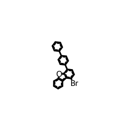 Brc1ccc(-c2ccc(-c3ccccc3)cc2)c2oc3ccccc3c12